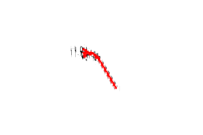 CCCOCCOCCOCCOCCOCCOCCOCCOCCOCCOCCOCCn1cc(CNC(=O)OCc2ccc(NC(=O)[C@H](CCCNC(N)=O)NC(=O)[C@@H](NC(=O)CON)C(C)C)cc2)nn1